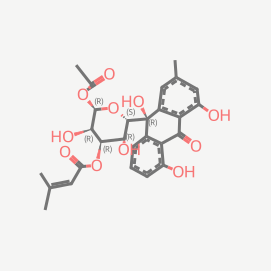 CC(=O)O[C@H]1O[C@H]([C@@]2(O)c3cccc(O)c3C(=O)c3c(O)cc(C)cc32)[C@H](O)[C@@H](OC(=O)C=C(C)C)[C@H]1O